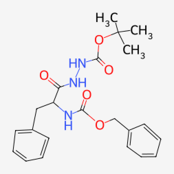 CC(C)(C)OC(=O)NNC(=O)C(Cc1ccccc1)NC(=O)OCc1ccccc1